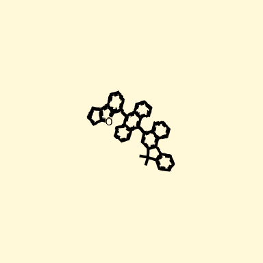 CC1(C)c2ccccc2-c2c1cc(-c1c3ccccc3c(-c3cccc4c5c(oc34)C=C=C5)c3ccccc13)c1ccccc21